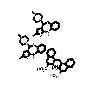 Cc1cc2c(s1)Nc1ccccc1N=C2N1CCN(C)CC1.Cc1cc2c(s1)Nc1ccccc1N=C2N1CCN(C)CC1.O=C(O)c1cc2ccccc2c(Cc2c(O)c(C(=O)O)cc3ccccc23)c1O